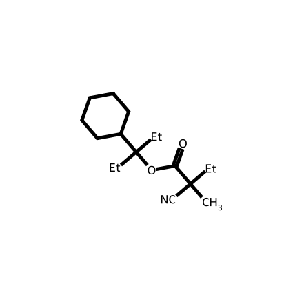 CCC(C)(C#N)C(=O)OC(CC)(CC)C1CCCCC1